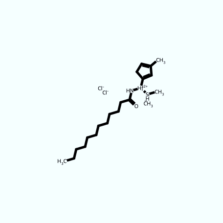 CCCCCCCCCCCC(=O)[NH][Hf+2]([C]1=CC(C)=CC1)[SiH](C)C.[Cl-].[Cl-]